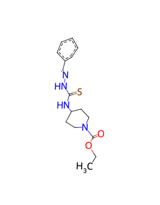 CCOC(=O)N1CCC(NC(=S)NN=Cc2ccccc2)CC1